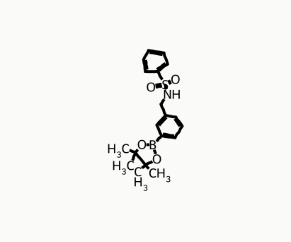 CC1(C)OB(c2cccc(CNS(=O)(=O)c3ccccc3)c2)OC1(C)C